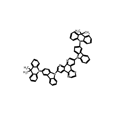 CC1(C)c2ccccc2N(c2ccc3c(c2)c2ccccc2n3-c2cnc3c(c2)c2nccnc2c2cc(-n4c5ccccc5c5cc(N6c7ccccc7C(C)(C)c7ccccc76)ccc54)cnc23)c2ccccc21